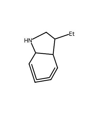 CCC1CNC2C=C=C=CC12